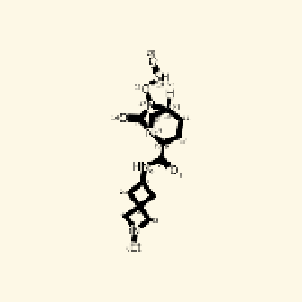 CCN1CC2(CC(NC(=O)[C@@H]3CC[C@@H]4CN3C(=O)N4O[SH]=O)C2)C1